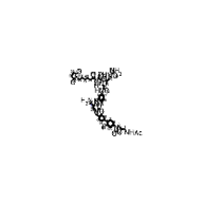 CC(=O)NCC1CN(c2ccc(-c3ccc(CN(C/C(=C/N)N=N)C(=O)OCc4ccc(NC(=O)[C@H](CCCNC(N)=O)NC(=O)[C@@H](NC(=O)CCCCCN5C(=O)C=CC5=O)C(C)C)cc4)cc3)c(F)c2)C(=O)O1